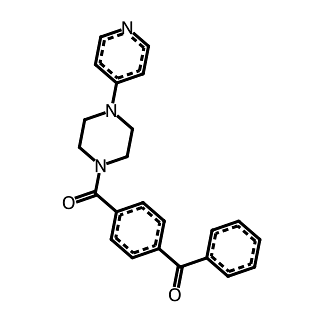 O=C(c1ccccc1)c1ccc(C(=O)N2CCN(c3ccncc3)CC2)cc1